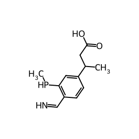 CPc1cc(C(C)CC(=O)O)ccc1C=N